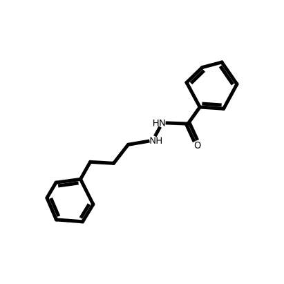 O=C(NNCCCc1ccccc1)c1ccccc1